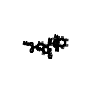 COC(=O)c1ccc2c(N[C@@H]3C[C@H]4CCCC[C@@H](C3)N4C)nc(Cl)cc2n1